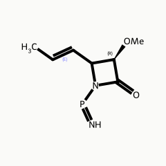 C/C=C/C1[C@@H](OC)C(=O)N1P=N